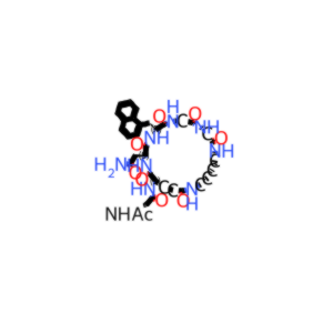 CC(=O)NCC(=O)N[C@H]1CCC(=O)NCCCCNC(=O)CNC(=O)CNC(=O)[C@@H](Cc2cccc3ccccc23)NC(=O)[C@H](CC(N)=O)NC1=O